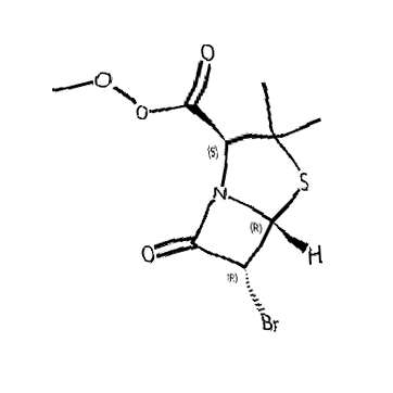 COOC(=O)[C@@H]1N2C(=O)[C@@H](Br)[C@H]2SC1(C)C